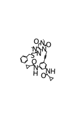 Cn1c(=O)c2c(nc(SCc3ccccc3)n2C)n(CC#Cc2cc(NC(=O)C3CC3)cc(NC(=O)C3CC3)c2)c1=O